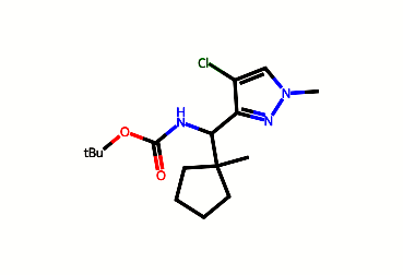 Cn1cc(Cl)c(C(NC(=O)OC(C)(C)C)C2(C)CCCC2)n1